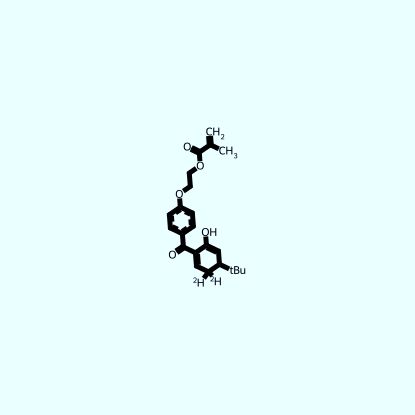 [2H]C1([2H])C=C(C(=O)c2ccc(OCCOC(=O)C(=C)C)cc2)C(O)=CC1C(C)(C)C